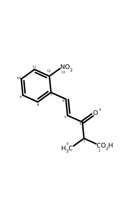 CC(C(=O)O)C(=O)C=Cc1ccccc1[N+](=O)[O-]